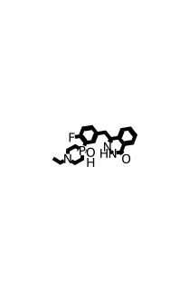 CCN1CC[P](O)(c2cc(Cc3n[nH]c(=O)c4ccccc34)ccc2F)CC1